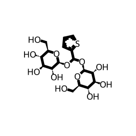 OC[C@H]1O[C@@H](OC(O[C@@H]2O[C@H](CO)[C@@H](O)[C@H](O)[C@H]2O)c2cccs2)[C@H](O)[C@@H](O)[C@@H]1O